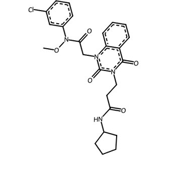 CON(C(=O)Cn1c(=O)n(CCC(=O)NC2CCCC2)c(=O)c2ccccc21)c1cccc(Cl)c1